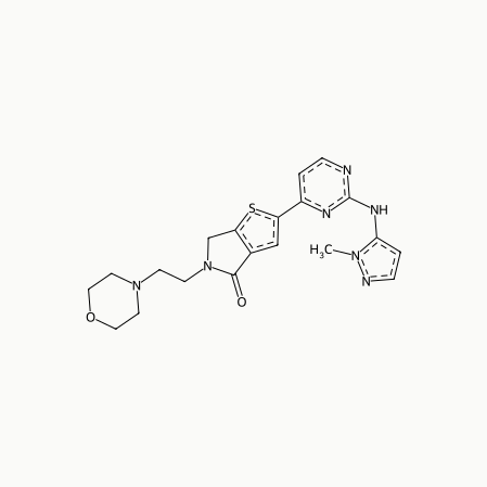 Cn1nccc1Nc1nccc(-c2cc3c(s2)CN(CCN2CCOCC2)C3=O)n1